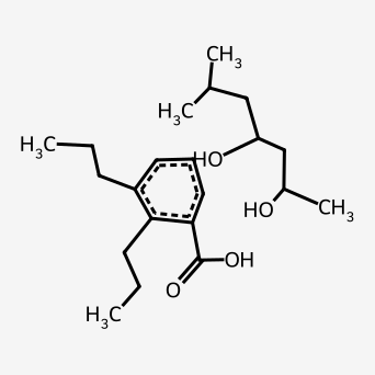 CC(C)CC(O)CC(C)O.CCCc1cccc(C(=O)O)c1CCC